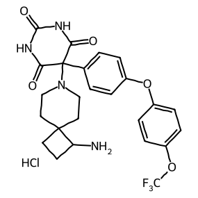 Cl.NC1CCC12CCN(C1(c3ccc(Oc4ccc(OC(F)(F)F)cc4)cc3)C(=O)NC(=O)NC1=O)CC2